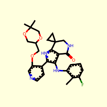 Cc1c(F)cccc1Nc1c(-c2ccncc2OCC2COC(C)(C)CO2)[nH]c2c1C(=O)NCC21CC1